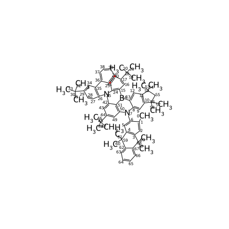 Cc1cc2c(cc1N1c3cc4c(cc3B3c5cc(C(C)(C)C)ccc5N(c5ccc(C(C)(C)C)cc5-c5ccccc5)c5cc(C(C)(C)C)cc1c53)C(C)(C)CC4(C)C)C(C)(C)c1ccccc1C2(C)C